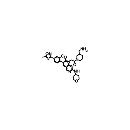 Cc1nc(-c2ccc(-c3cc4cnc(NC5CCOCC5)nc4n(CC(=O)N4CCCC(CN)C4)c3=O)c(Cl)c2)no1